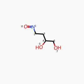 O=NCCC(O)CO